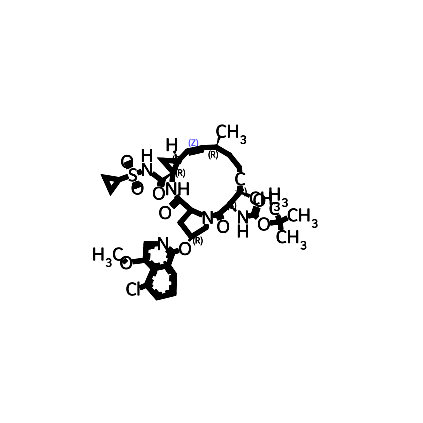 COc1cnc(O[C@@H]2CC3C(=O)N[C@]4(C(=O)NS(=O)(=O)C5CC5)C[C@H]4/C=C\[C@H](C)CCC[C@@H](C)[C@H](NC(=O)OC(C)(C)C)C(=O)N3C2)c2cccc(Cl)c12